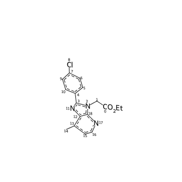 CCOC(=O)Cn1c(-c2ccc(Cl)cc2)nc2c(C)ccnc21